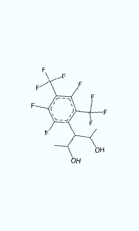 CC(O)C(c1c(F)c(F)c(C(F)(F)F)c(F)c1C(F)(F)F)C(C)O